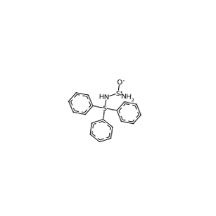 N[S@+]([O-])NS(c1ccccc1)(c1ccccc1)c1ccccc1